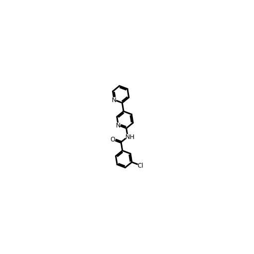 O=C(Nc1ccc(-c2ccccn2)cn1)c1cccc(Cl)c1